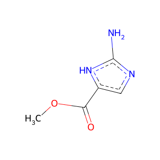 COC(=O)c1cnc(N)[nH]1